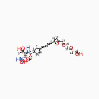 C[C@@H](O)[C@H](NC(=O)c1ccc(C#CC#Cc2ccc(COCCOCCO)o2)cc1)C(=O)NO